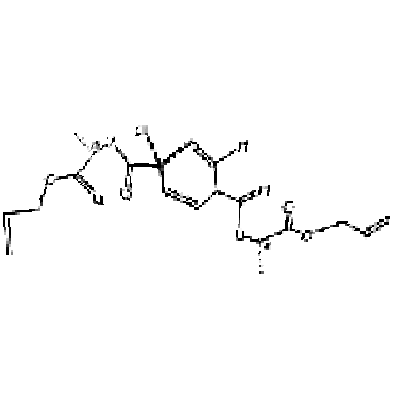 C=CCOC(=O)[C@H](C)OC(=O)C1C=CC(Cl)(C(=O)O[C@@H](C)C(=O)OCC=C)C=C1Cl